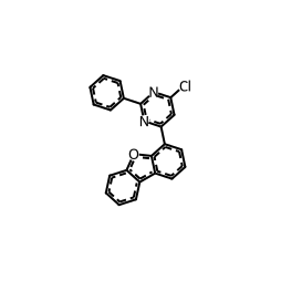 Clc1cc(-c2cccc3c2oc2ccccc23)nc(-c2ccccc2)n1